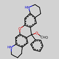 O=COC1(c2ccccc2)c2cc3c(cc2Oc2cc4c(cc21)CCCN4)NCCC3